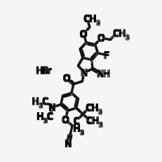 Br.CCOc1cc2c(c(F)c1OCC)C(=N)N(CC(=O)c1cc(N(C)C)c(OCC#N)c(C(C)(C)C)c1)C2